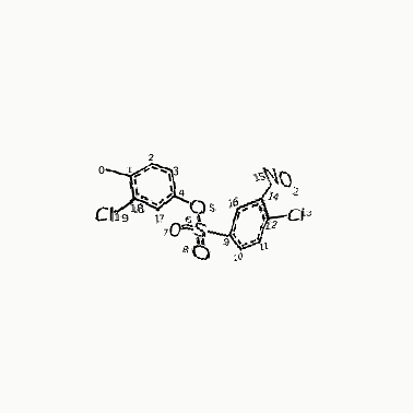 Cc1ccc(OS(=O)(=O)c2ccc(Cl)c([N+](=O)[O-])c2)cc1Cl